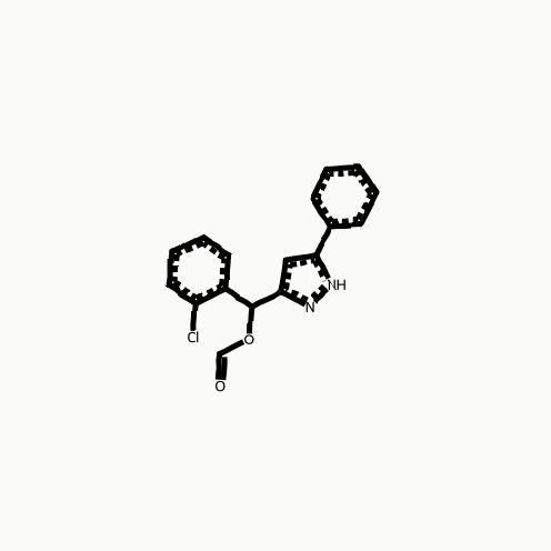 O=COC(c1cc(-c2ccccc2)[nH]n1)c1ccccc1Cl